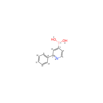 OB(O)c1ccnc(-c2ccccc2)c1